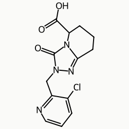 O=C(O)C1CCCc2nn(Cc3ncccc3Cl)c(=O)n21